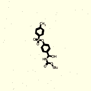 Cc1ccc(S(=O)(=O)Oc2ccc(C(O)NC(=O)OC(C)(C)C)cc2)cc1